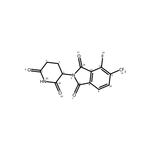 O=C1CCC(N2C(=O)c3ccc(C(F)(F)F)c(F)c3C2=O)C(=O)N1